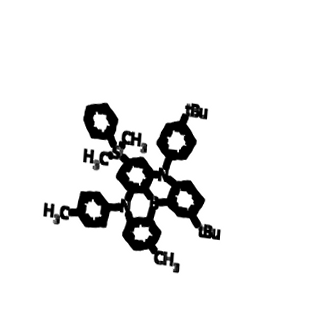 Cc1ccc(N2c3ccc(C)cc3B3c4cc(C(C)(C)C)ccc4N(c4ccc(C(C)(C)C)cc4)c4cc([Si](C)(C)c5ccccc5)cc2c43)cc1